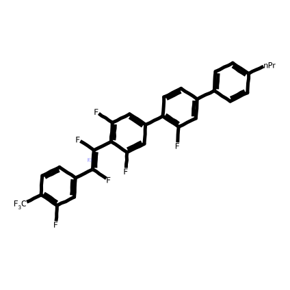 CCCc1ccc(-c2ccc(-c3cc(F)c(/C(F)=C(\F)c4ccc(C(F)(F)F)c(F)c4)c(F)c3)c(F)c2)cc1